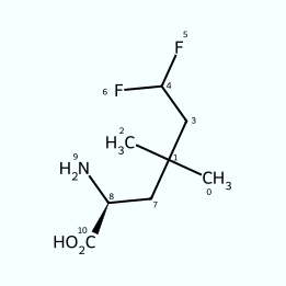 CC(C)(CC(F)F)C[C@H](N)C(=O)O